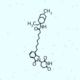 CCC1(NC(=O)CCCCCCCc2cccc3c2CN(C2CCC(=O)NC2=O)C3=O)CC2CC(C)CC(C2)C1